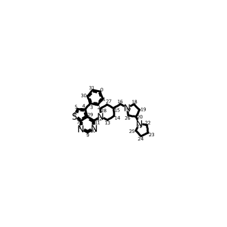 c1ccc(-c2csc3ncnc(N4CCC(CN5CCC(N6CCCC6)C5)CC4)c23)cc1